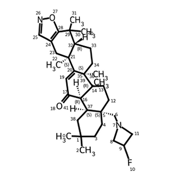 CC1(C)CC[C@]2(CN3CC(F)C3)CC[C@]3(C)[C@H](C(=O)C=C4[C@@]5(C)Cc6cnoc6C(C)(C)[C@@H]5CC[C@]43C)[C@@H]2C1